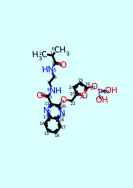 CC(C)C(=O)NCCNC(=O)c1nc2ccccc2nc1OCc1ccc(OP(O)O)o1